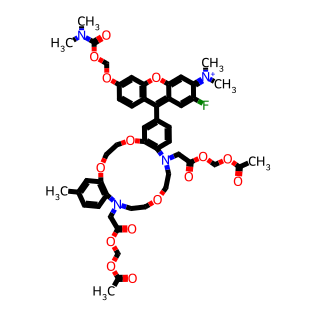 CC(=O)OCOC(=O)CN1CCOCCN(CC(=O)OCOC(C)=O)c2ccc(-c3c4cc(F)c(=[N+](C)C)cc-4oc4cc(OCOC(=O)N(C)C)ccc34)cc2OCCOc2cc(C)ccc21